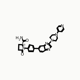 NC(=O)[C@@H]1CCC(=O)N1c1ccc(-c2ccc3ncc(N4CCN(c5ccncc5)CC4)nc3c2)cc1